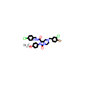 COc1ccc(-n2c(C(=O)NCc3ccc(Cl)cc3)c3n(c2=O)CCN(Cc2ccc(Br)c(Cl)c2)C3)cc1